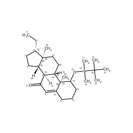 CC[C@H]1CC[C@H]2[C@@H]3C(=O)C=C4CCCC(O[Si](C)(C)C(C)(C)C)[C@]4(C)[C@H]3CC[C@]12C